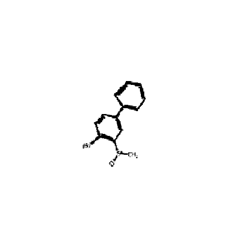 CCC(C)c1ccc(-c2ccccc2)cc1[S+](C)[O-]